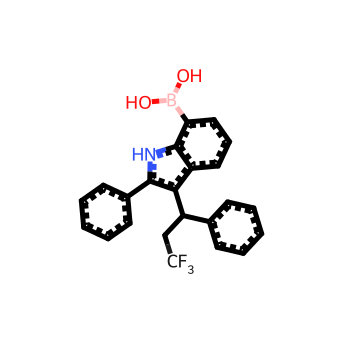 OB(O)c1cccc2c(C(CC(F)(F)F)c3ccccc3)c(-c3ccccc3)[nH]c12